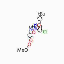 CCCCCCCN(Cc1ccc(OCOCCOC)cc1)C(=O)Nc1ccc(Cl)cc1OCc1ccc(C(C)(C)C)cc1